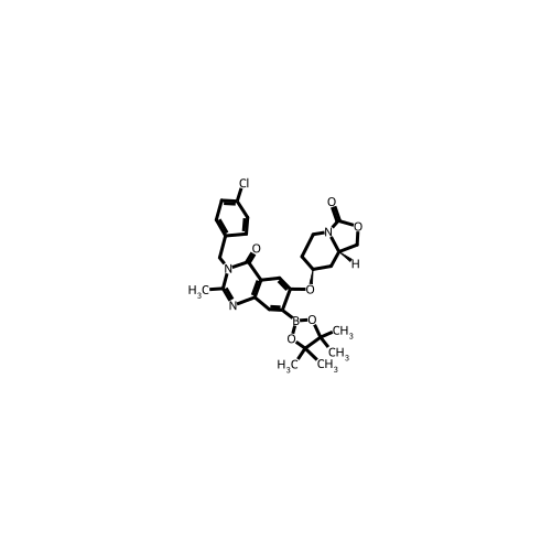 Cc1nc2cc(B3OC(C)(C)C(C)(C)O3)c(O[C@H]3CCN4C(=O)OC[C@@H]4C3)cc2c(=O)n1Cc1ccc(Cl)cc1